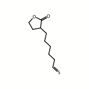 O=C1OCCC1CCCCCC=S